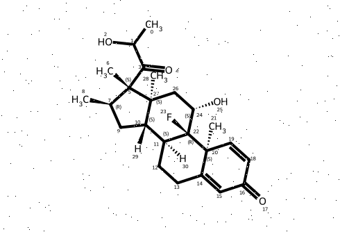 CC(O)C(=O)[C@@]1(C)[C@H](C)C[C@H]2[C@@H]3CCC4=CC(=O)C=C[C@]4(C)[C@@]3(F)[C@@H](O)C[C@@]21C